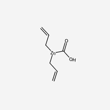 C=C[CH2][Zn]([CH2]C=C)[C](=O)O